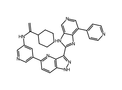 C=C(Nc1cncc(-c2ccc3[nH]nc(-c4nc5c(-c6ccncc6)cncc5[nH]4)c3n2)c1)C1CCCCC1